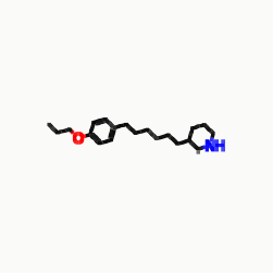 CCCOc1ccc(CCCCCCC2[CH]NCCC2)cc1